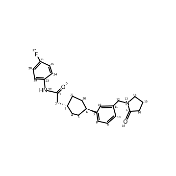 O=C(C[C@H]1CC[C@H](c2cccc(CN3CCCC3=O)c2)CC1)Nc1ccc(F)cc1